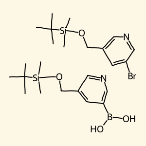 CC(C)(C)[Si](C)(C)OCc1cncc(B(O)O)c1.CC(C)(C)[Si](C)(C)OCc1cncc(Br)c1